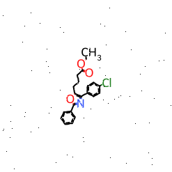 CCOC(=O)CCCc1oc(-c2ccccc2)nc1-c1ccc(Cl)cc1